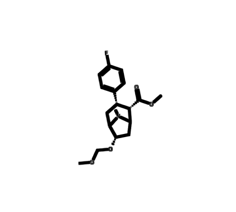 COCO[C@H]1CC2[C@@H](C(=O)OC)[C@@H](c3ccc(F)cc3)CC1N2C